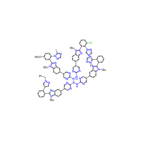 CCn1ncnc1-c1ccccc1-c1nc2cc(-c3cnc(NN(c4ncc(-c5ccc6c(c5)nc(-c5ccccc5-c5cnn(CC(C)C)c5)n6C(C)(C)C)cn4)N(Nc4ncc(-c5ccc6c(c5)nc(-c5cccc(Cl)c5-n5cncn5)n6C(C)(C)C)cn4)c4ncc(-c5ccc6c(c5)nc(-c5cc(OC)ccc5-n5ncnc5C)n6C(C)(C)C)cn4)nc3)ccc2n1C(C)(C)C